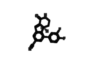 N#Cc1cc2c(c(-c3ccc(F)c(F)c3)c1)[C@@H]1CCNC(=O)C1=C2